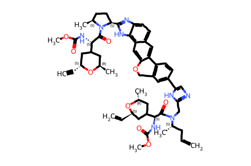 C#C[C@@H]1CC([C@H](NC(=O)OC)C(=O)N2[C@@H](C)CC[C@H]2c2nc3ccc4cc5c(cc4c3[nH]2)OCc2cc(-c3cnc(CN(C(=O)[C@@H](NC(=O)OC)C4C[C@@H](C)O[C@H](C=C)C4)[C@@H](C)CC=C)[nH]3)ccc2-5)C[C@@H](C)O1